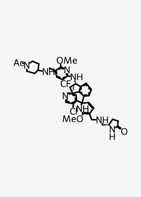 COC1=C(CNC[C@H]2CCC(=O)N2)C=CC(c2ccncc2Cl)(c2cccc3c2CC[C@H]3Nc2nc(OC)c(CNC3CCN(C(C)=O)CC3)cc2C(F)(F)F)N1